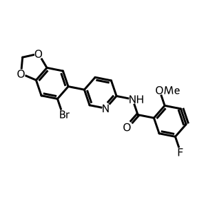 COc1c#cc(F)cc1C(=O)Nc1ccc(-c2cc3c(cc2Br)OCO3)cn1